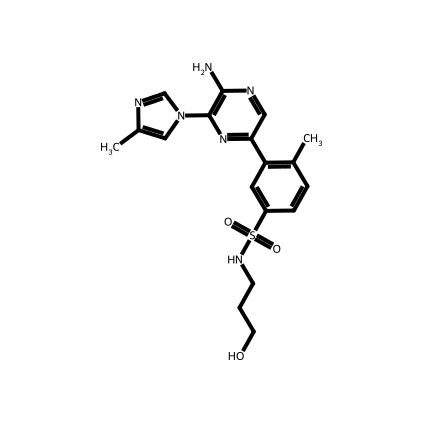 Cc1cn(-c2nc(-c3cc(S(=O)(=O)NCCCO)ccc3C)cnc2N)cn1